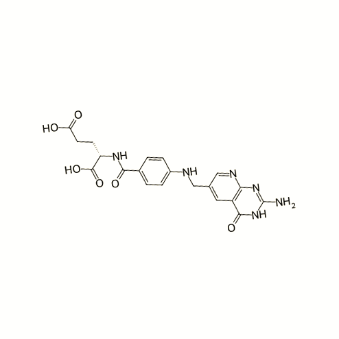 Nc1nc2ncc(CNc3ccc(C(=O)N[C@@H](CCC(=O)O)C(=O)O)cc3)cc2c(=O)[nH]1